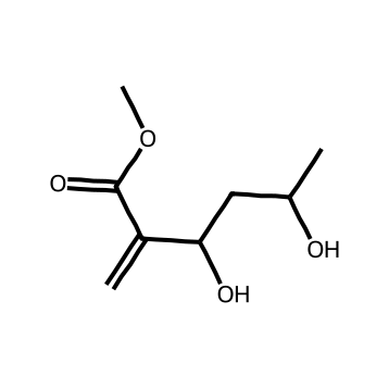 C=C(C(=O)OC)C(O)CC(C)O